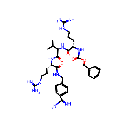 CC(C)C(NC(=O)[C@H](CCCNC(=N)N)NC(=O)OCc1ccccc1)C(=O)N[C@@H](CCCNC(=N)N)C(=O)NCc1ccc(C(=N)N)cc1